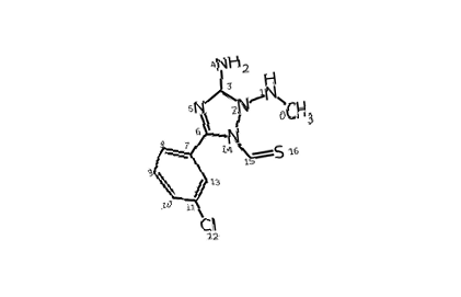 CNN1C(N)N=C(c2cccc(Cl)c2)N1C=S